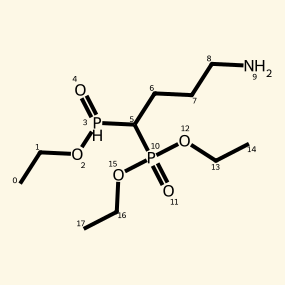 CCO[PH](=O)C(CCCN)P(=O)(OCC)OCC